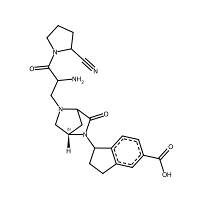 N#CC1CCCN1C(=O)C(N)CN1C[C@@H]2CC1C(=O)N2C1CCc2cc(C(=O)O)ccc21